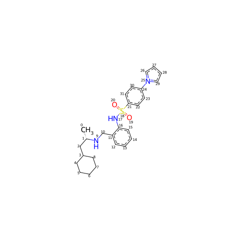 C[C@@H](CC1CCCCC1)NCc1ccccc1NS(=O)(=O)c1ccc(-n2cccc2)cc1